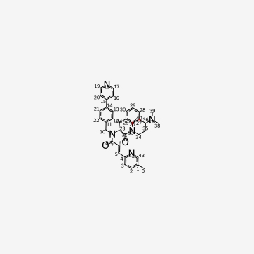 Cc1ccc(C=CC(=O)N(Cc2ccc(-c3ccncc3)cc2)[C@@H](Cc2ccccc2)C(=O)N2CCC(N(C)C)CC2)nc1